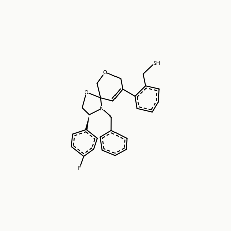 Fc1ccc([C@H]2COC3(C=C(c4ccccc4CS)COC3)N2Cc2ccccc2)cc1